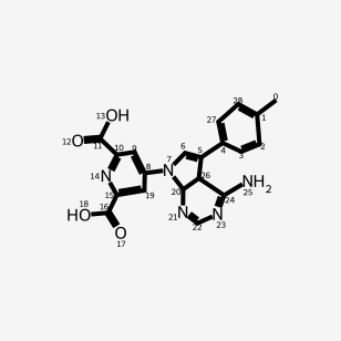 Cc1ccc(C2=CN(c3cc(C(=O)O)nc(C(=O)O)c3)C3N=CN=C(N)C23)cc1